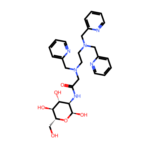 O=C(CN(CCN(Cc1ccccn1)Cc1ccccn1)Cc1ccccn1)N[C@@H]1[C@@H](O)[C@H](O)[C@@H](CO)O[C@@H]1O